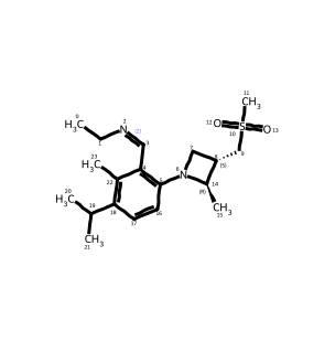 CC/N=C\c1c(N2C[C@H](CS(C)(=O)=O)[C@H]2C)ccc(C(C)C)c1C